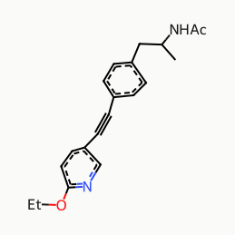 CCOc1ccc(C#Cc2ccc(CC(C)NC(C)=O)cc2)cn1